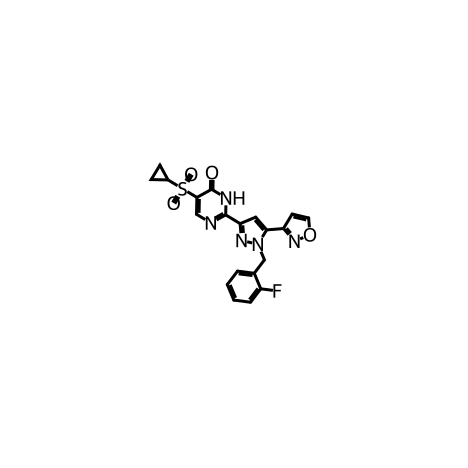 O=c1[nH]c(-c2cc(-c3ccon3)n(Cc3ccccc3F)n2)ncc1S(=O)(=O)C1CC1